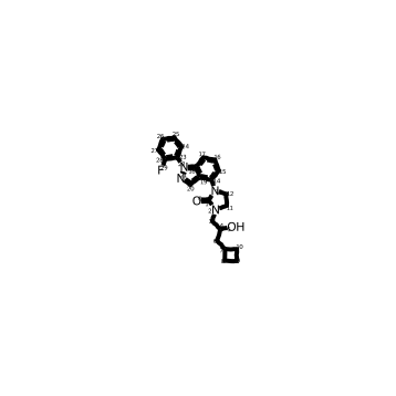 O=C1N(CC(O)CC2CCC2)CCN1c1cccc2c1cnn2-c1ccccc1F